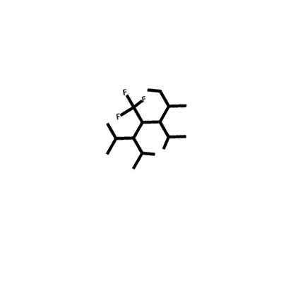 CCC(C)C(C(C)C)C(C(C(C)C)C(C)C)C(F)(F)F